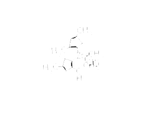 CC1=CC(C)=[C]([Zr+2]([C]2=C(C)C=C(C)C2)=[C](C)C)C1.[Cl-].[Cl-]